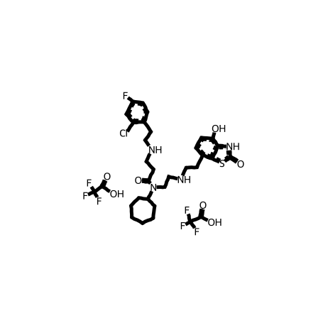 O=C(CCNCCc1ccc(F)cc1Cl)N(CCNCCc1ccc(O)c2[nH]c(=O)sc12)C1CCCCCC1.O=C(O)C(F)(F)F.O=C(O)C(F)(F)F